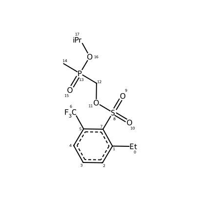 CCc1cccc(C(F)(F)F)c1S(=O)(=O)OCP(C)(=O)OC(C)C